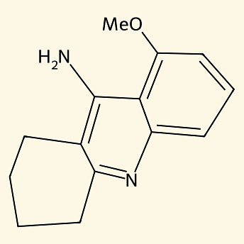 COc1cccc2nc3c(c(N)c12)CCCC3